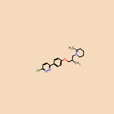 CC(COc1ccc(-c2ccc(Cl)nn2)cc1)CN1CCCC[C@@H]1C